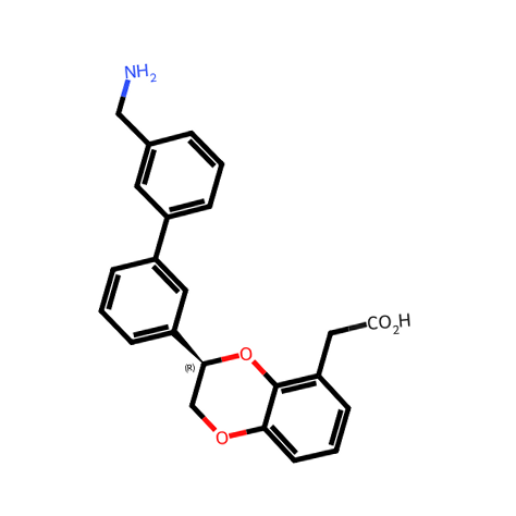 NCc1cccc(-c2cccc([C@@H]3COc4cccc(CC(=O)O)c4O3)c2)c1